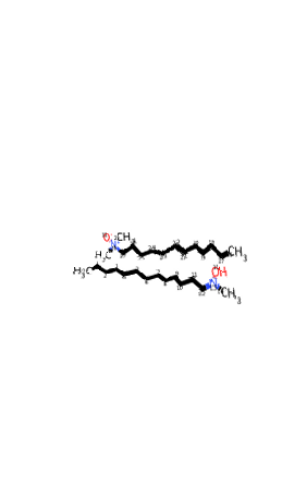 CCCCCCCCCCCCCN(C)O.CCCCCCCCCCCC[N+](C)(C)[O-]